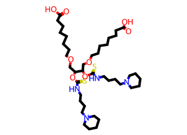 O=C(O)CCCCCCCOCC(OC(=S)NCCCCN1CCCCC1)C(COCCCCCCCC(=O)O)OC(=S)NCCCCN1CCCCC1